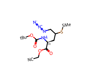 CSSC(CN=[N+]=[N-])C[C@H](NC(=O)OC(C)(C)C)C(=O)OCC#N